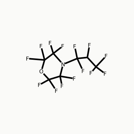 FC(C(F)(F)F)C(F)(F)N1C(F)(F)C(F)(F)OC(F)(F)C1(F)F